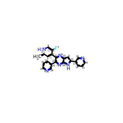 C=C/C=C(\C(F)=C/N)c1nc2cc(-c3cccnc3)[nH]c2nc1-c1cccnc1